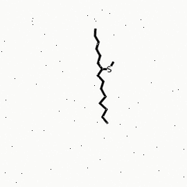 CCCCCCCCC(CCCCCC)SC